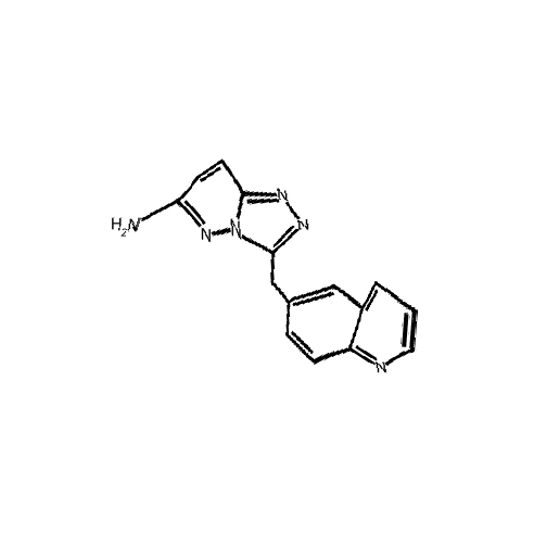 Nc1ccc2nnc(Cc3ccc4ncccc4c3)n2n1